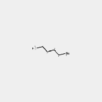 CC(C)(C)CCCCC(F)(F)F